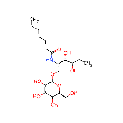 CCCCCCC(=O)N[C@@H](COC1OC(CO)C(O)C(O)C1O)[C@H](O)[C@H](O)CC